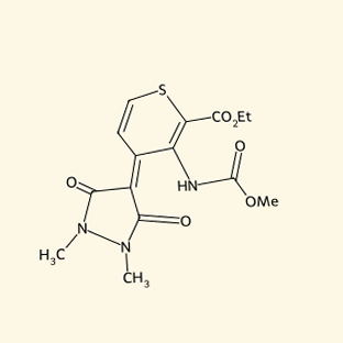 CCOC(=O)C1=C(NC(=O)OC)C(=C2C(=O)N(C)N(C)C2=O)C=CS1